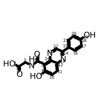 O=C(O)CNC(=O)c1c(O)ccc2nc(-c3ccc(O)cc3)cnc12